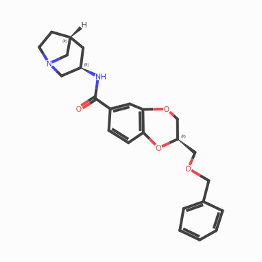 O=C(N[C@@H]1C[C@H]2CCN(C2)C1)c1ccc2c(c1)OC[C@@H](COCc1ccccc1)O2